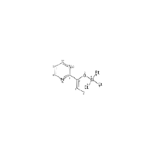 CC=C(O[Si](CC)(CC)CC)c1ncccn1